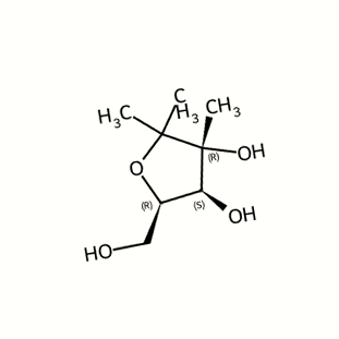 CC1(C)O[C@H](CO)[C@H](O)[C@@]1(C)O